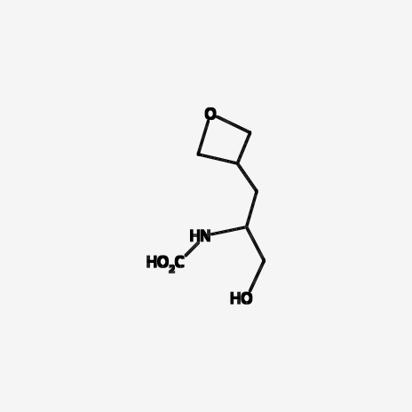 O=C(O)NC(CO)CC1COC1